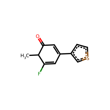 CC1C(=O)C=C(c2ccsc2)C=C1F